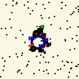 CC(C)[C@H]1NC(=O)C(C=C=Cc2cccc(Cl)c2)NCCOc2ccccc2C[C@H](C)CNC(=O)[C@H](CC2CC2)NC1=O